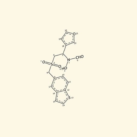 O=CN(O)C(CS(=O)(=O)Cc1ccc2sccc2c1)c1ccoc1